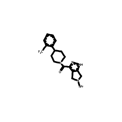 CCCN1Cc2[nH]nc(C(=O)N3CCC(c4ccccc4C(F)(F)F)CC3)c2C1